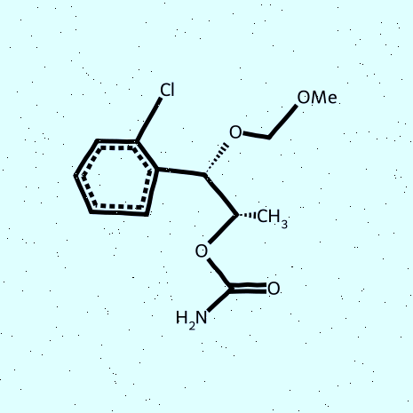 COCO[C@@H](c1ccccc1Cl)[C@H](C)OC(N)=O